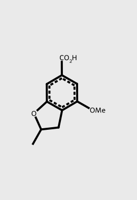 COc1cc(C(=O)O)cc2c1CC(C)O2